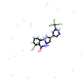 O=c1[nH]c2cc(-c3ccnc(C(F)(F)F)c3)nn2c2cccc(F)c12